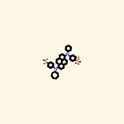 CS(C)(C)c1ccc(N(C2=CC=CC=CC2)c2ccc3ccc4c(N(c5ccccc5)c5ccc([SH](C)(C)(C)C)cc5)ccc5ccc2c3c54)cc1